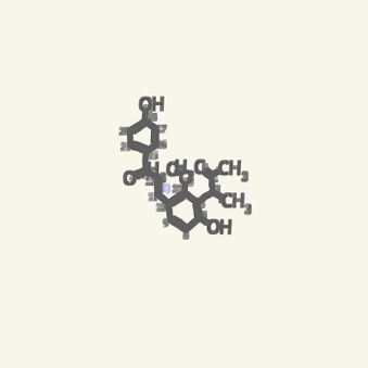 C=C(C)C(C)c1c(O)ccc(/C=C/C(=O)c2ccc(O)cc2)c1OC